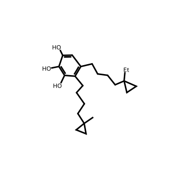 CCC1(CCCCc2cc(O)c(O)c(O)c2CCCCC2(C)CC2)CC1